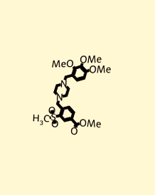 COC(=O)c1ccc(CN2CCN(Cc3ccc(OC)c(OC)c3OC)CC2)c(S(C)(=O)=O)c1